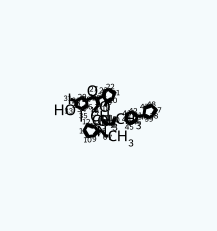 C/C=C/C(=O)N(CC)c1ccccc1C.CCc1oc2ccccc2c1C(=O)c1cc(I)c(O)c(I)c1.c1ccc(-c2ccccc2)cc1